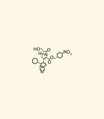 C[C@@H](O)[C@H]1C(=O)N2C(C(=O)OCc3ccc([N+](=O)[O-])cc3)=C(c3sc4cncn4c3-c3ccccc3)C[C@H]12